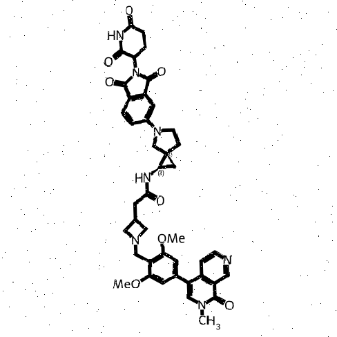 COc1cc(-c2cn(C)c(=O)c3cnccc23)cc(OC)c1CN1CC(CC(=O)N[C@@H]2C[C@@]23CCN(c2ccc4c(c2)C(=O)N(C2CCC(=O)NC2=O)C4=O)C3)C1